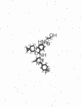 Cc1cc(NC(=O)c2ccc(N[S+]([O-])CCO)cc2N2CCC3(CC2)CC3)nc(C2CCC(F)(F)CC2)n1